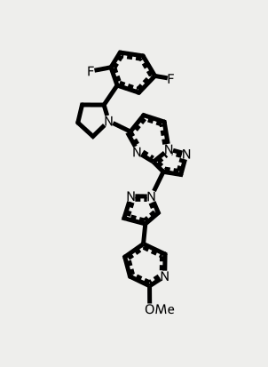 COc1ccc(-c2cnn(-c3cnn4ccc(N5CCCC5c5cc(F)ccc5F)nc34)c2)cn1